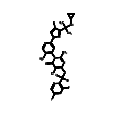 [2H]C([2H])(Oc1nc(C)n(-c2cc(-n3cc(F)c(C(C)(C)NC4CC4)n3)ncc2C)c(=O)c1Cl)c1ncc(F)cc1F